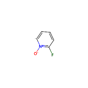 [O-][n+]1[c]cccc1F